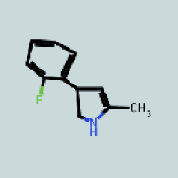 CC1=CC(c2ccccc2F)CN1